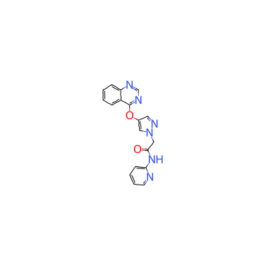 O=C(Cn1cc(Oc2ncnc3ccccc23)cn1)Nc1ccccn1